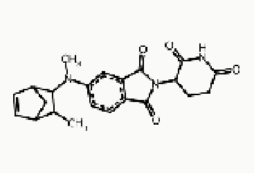 CC1C2C=CC(C2)C1N(C)c1ccc2c(c1)C(=O)N(C1CCC(=O)NC1=O)C2=O